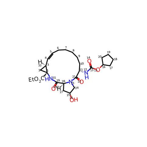 CCOC(=O)[C@@]12C[C@H]1/C=C\CCCCC[C@H](NC(=O)OC1CCCC1)C(=O)N1C[C@@H](O)C[C@H]1C(=O)N2